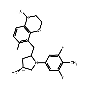 Cc1c(F)cc(N2C[C@@H](O)CC2Cc2c(F)ccc3c2OCCN3C)cc1F